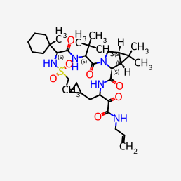 C=CCNC(=O)C(=O)C(CC1CC1)NC(=O)[C@@H]1[C@@H]2[C@H](CN1C(=O)[C@@H](NC(=O)[C@@H](NS(=O)(=O)CC)C1(C)CCCCC1)C(C)(C)C)C2(C)C